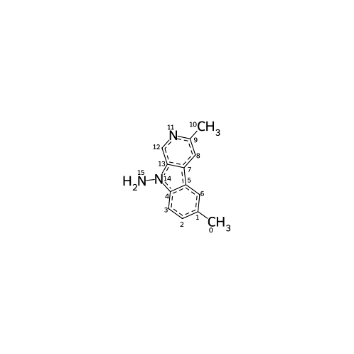 Cc1ccc2c(c1)c1cc(C)ncc1n2N